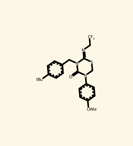 COc1ccc(N2CSC(=NCC(F)(F)F)N(Cc3ccc(C(C)(C)C)cc3)C2=O)cc1